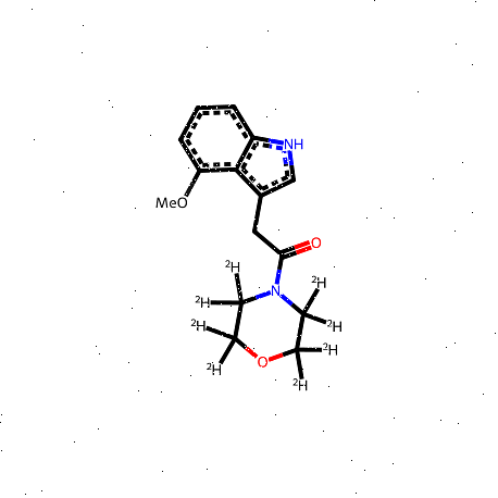 [2H]C1([2H])OC([2H])([2H])C([2H])([2H])N(C(=O)Cc2c[nH]c3cccc(OC)c23)C1([2H])[2H]